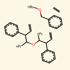 C=C.C=CC(c1ccccc1)C(CCC)OC(CCC)C(C=C)c1ccccc1.CCCCOCc1ccccc1